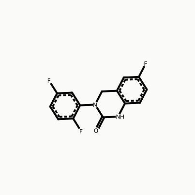 O=C1Nc2ccc(F)cc2CN1c1cc(F)ccc1F